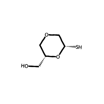 OC[C@@H]1COC[C@H](S)O1